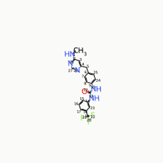 CNc1cc(Cc2ccc(NC(=O)Nc3cccc(C(F)(F)F)c3)cc2)ncn1